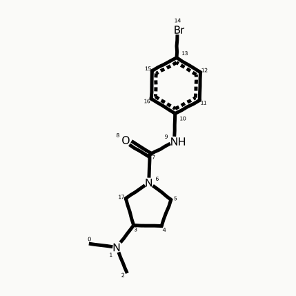 CN(C)C1CCN(C(=O)Nc2ccc(Br)cc2)C1